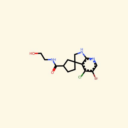 O=C(NCCO)C1CCC2(CNc3ncc(Br)c(Cl)c32)C1